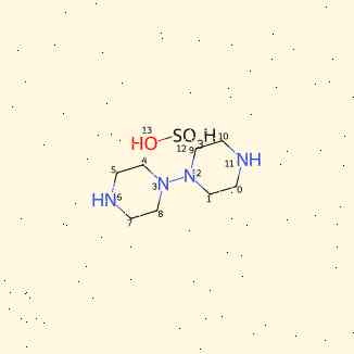 C1CN(N2CCNCC2)CCN1.O=S(=O)(O)O